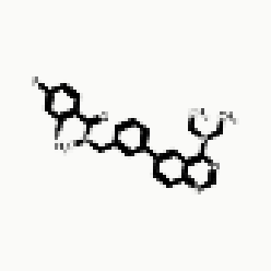 CCN(CC)c1ncnc2ccc(-c3cccc(CN(C)C(=O)c4ccc(F)cc4F)c3)cc12